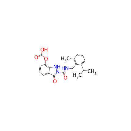 Cc1cccc(C(C)C)c1CNC(=O)n1[nH]c2c(OC(=O)O)cccc2c1=O